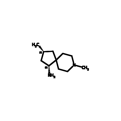 C[C@H]1C[C@@H](N)C2(CCN(C)CC2)C1